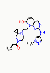 C=CC(=O)N1CCN(CCN2c3nc(Nc4cnn(C)c4)ncc3C=CC2O)C2(CC2)C1